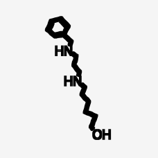 OCCCCCCNCCCNCc1ccccc1